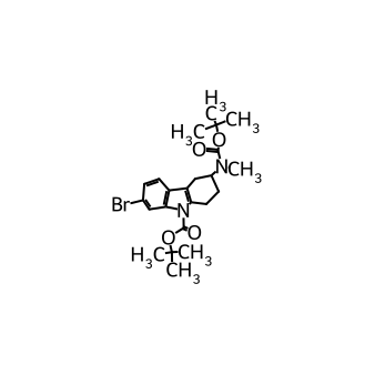 CN(C(=O)OC(C)(C)C)C1CCc2c(c3ccc(Br)cc3n2C(=O)OC(C)(C)C)C1